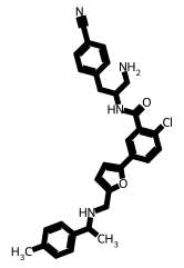 Cc1ccc(C(C)NCc2ccc(-c3ccc(Cl)c(C(=O)NC(CN)Cc4ccc(C#N)cc4)c3)o2)cc1